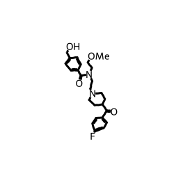 COCCN(CCN1CCC(C(=O)c2ccc(F)cc2)CC1)C(=O)c1ccc(CO)cc1